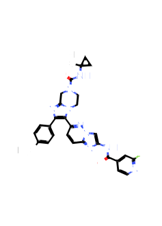 Cc1ccc(-c2nc3n(c2-c2ccc4nc(NC(=O)c5ccnc(F)c5)cn4n2)CCN(C(=O)NC2(C)CC2)C3)cc1